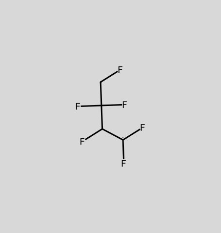 FCC(F)(F)C(F)[C](F)F